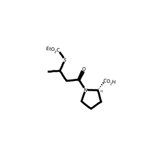 CCOC(=O)SC(C)CC(=O)N1CCC[C@H]1C(=O)O